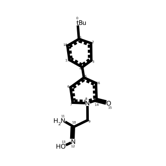 CC(C)(C)c1ccc(-c2ccn(C/C(N)=N/O)c(=O)c2)cc1